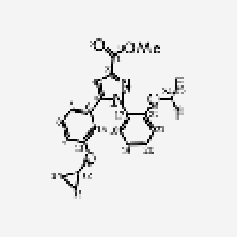 COC(=O)c1cc(-c2cccc(OC3CC3)c2)n(-c2ccccc2OC(F)F)n1